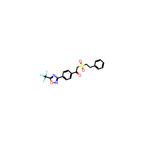 O=C(CS(=O)(=O)CCc1ccccc1)c1ccc(-c2noc(C(F)(F)F)n2)cc1